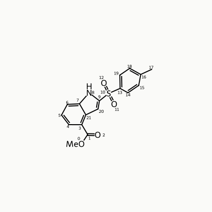 COC(=O)c1cccc2[nH]c(S(=O)(=O)c3ccc(C)cc3)cc12